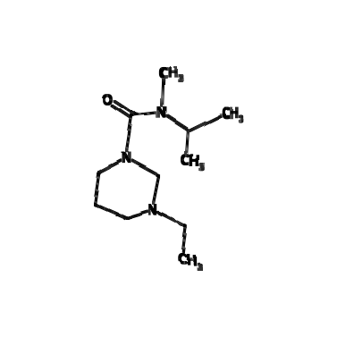 CCN1CCCN(C(=O)N(C)C(C)C)C1